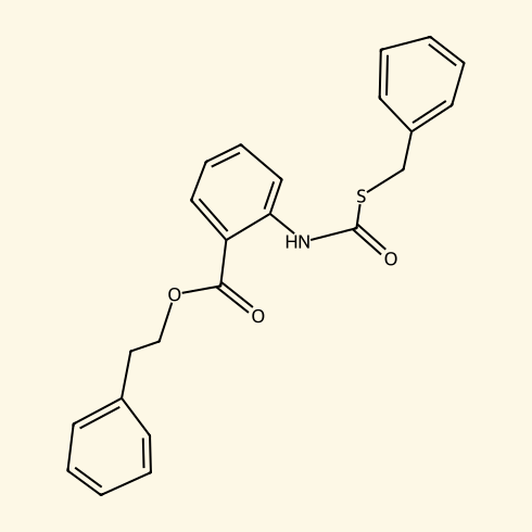 O=C(Nc1ccccc1C(=O)OCCc1ccccc1)SCc1ccccc1